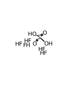 F.F.F.F.F.O=S(=O)(O)O